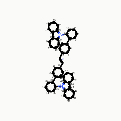 C(=C\c1ccc(-c2ccccc2-n2c3ccccc3c3ccccc32)cc1)/c1ccc(-c2ccccc2-n2c3ccccc3c3ccccc32)cc1